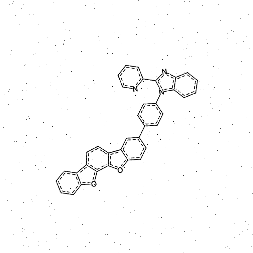 c1ccc(-c2nc3ccccc3n2-c2ccc(-c3ccc4oc5c(ccc6c7ccccc7oc65)c4c3)cc2)nc1